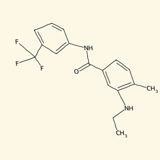 CCNc1cc(C(=O)Nc2cccc(C(F)(F)F)c2)ccc1C